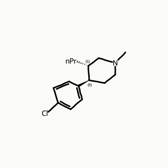 CCC[C@@H]1CN(C)CC[C@H]1c1ccc(Cl)cc1